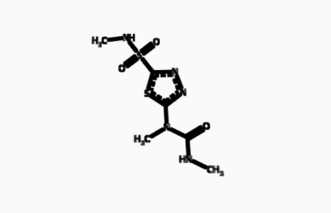 CNC(=O)N(C)c1nnc(S(=O)(=O)NC)s1